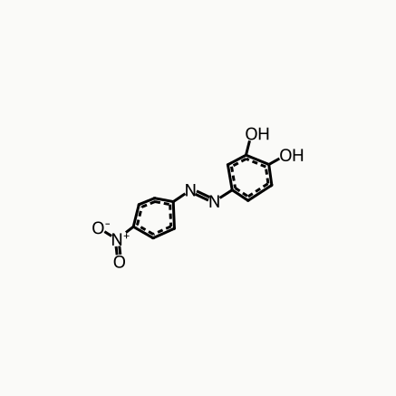 O=[N+]([O-])c1ccc(N=Nc2ccc(O)c(O)c2)cc1